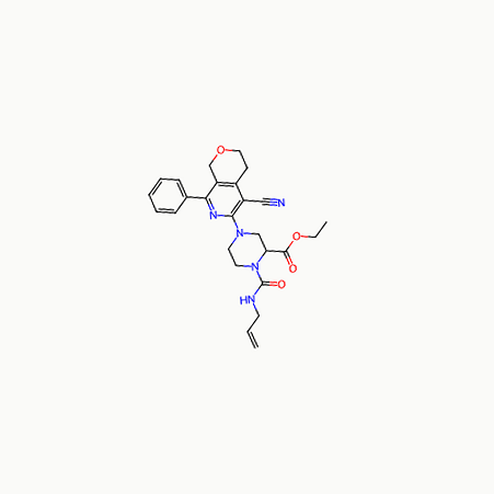 C=CCNC(=O)N1CCN(c2nc(-c3ccccc3)c3c(c2C#N)CCOC3)CC1C(=O)OCC